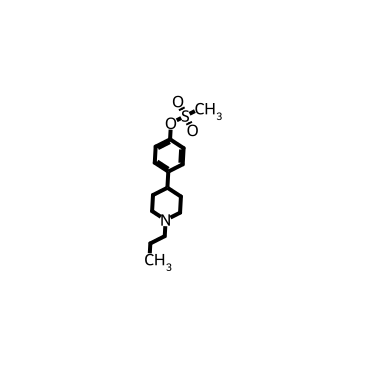 CCCN1CCC(c2ccc(OS(C)(=O)=O)cc2)CC1